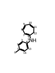 Cc1ccc(NC2=CC=CC=CC2)cc1